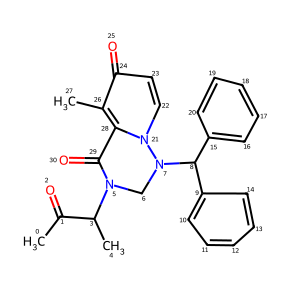 CC(=O)C(C)N1CN(C(c2ccccc2)c2ccccc2)n2ccc(=O)c(C)c2C1=O